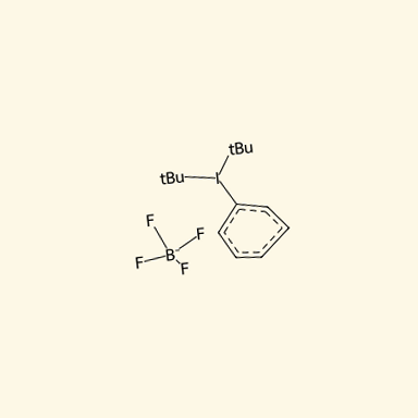 CC(C)(C)I(c1ccccc1)C(C)(C)C.F[B-](F)(F)F